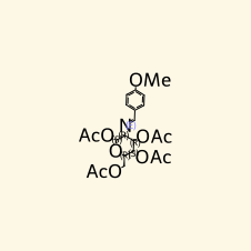 COc1ccc(/C=N/[C@H]2[C@H](OC(C)=O)O[C@H](COC(C)=O)[C@@H](OC(C)=O)[C@@H]2OC(C)=O)cc1